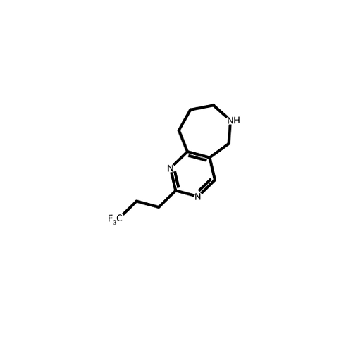 FC(F)(F)CCc1ncc2c(n1)CCCNC2